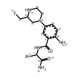 CC(C)C(NC(=O)c1cc(N2CCNC(CF)C2)ccc1N)C(N)=O